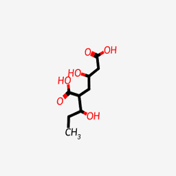 CCC(O)C(CC(O)CC(=O)O)C(=O)O